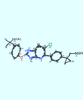 CNCC1(c2ccc(-c3nc4nc(Oc5ccc(C(C)(C)NC(C)=O)cc5)[nH]c4cc3Cl)cc2)CC1